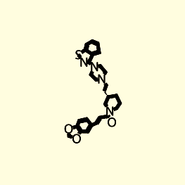 O=C(/C=C/c1ccc2c(c1)OCO2)N1CCC[C@@H](CCN2CCN(c3nsc4ccccc34)CC2)C1